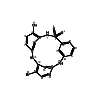 O=S1(=O)Nc2cc(ccc2O)Nc2nc(ncc2Br)Nc2cccc1c2